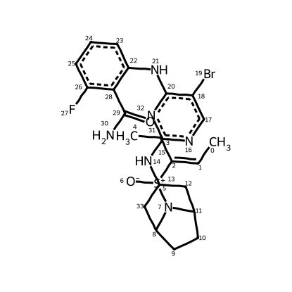 C/C=C(\CC)[S+]([O-])N1C2CCC1CC(Nc1ncc(Br)c(Nc3cccc(F)c3C(N)=O)n1)C2